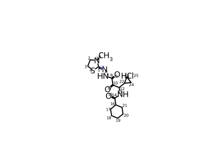 CN1CCS/C1=N\NC(=O)C(=O)C(NC(=O)C1CCCCC1)C1CC1.Cl